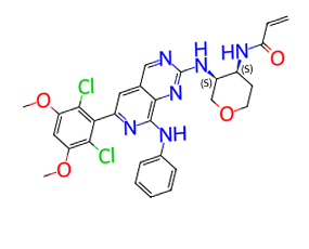 C=CC(=O)N[C@H]1CCOC[C@H]1Nc1ncc2cc(-c3c(Cl)c(OC)cc(OC)c3Cl)nc(Nc3ccccc3)c2n1